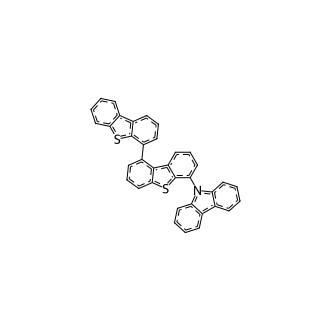 c1ccc2c(c1)sc1c(-c3cccc4sc5c(-n6c7ccccc7c7ccccc76)cccc5c34)cccc12